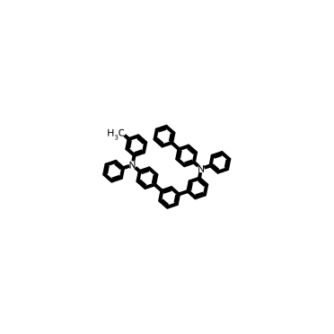 Cc1cccc(N(c2ccccc2)c2ccc(-c3cccc(-c4cccc(N(c5ccccc5)c5ccc(-c6ccccc6)cc5)c4)c3)cc2)c1